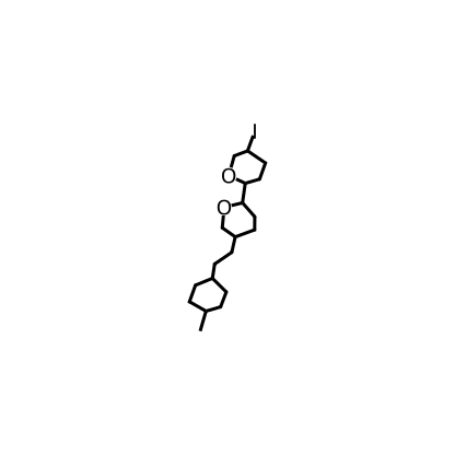 CC1CCC(CCC2CCC(C3CCC(I)CO3)OC2)CC1